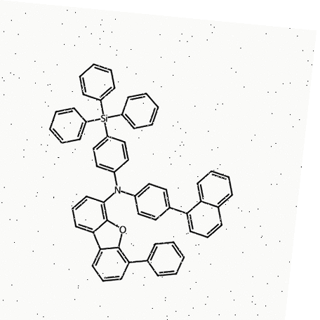 c1ccc(-c2cccc3c2oc2c(N(c4ccc(-c5cccc6ccccc56)cc4)c4ccc([Si](c5ccccc5)(c5ccccc5)c5ccccc5)cc4)cccc23)cc1